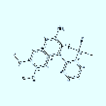 COc1cc2nc(N)nc(-c3ccccc3C(F)(F)F)c2cc1OC